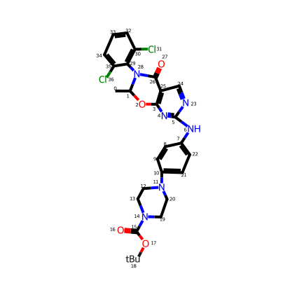 CC1Oc2nc(Nc3ccc(N4CCN(C(=O)OC(C)(C)C)CC4)cc3)ncc2C(=O)N1c1c(Cl)cccc1Cl